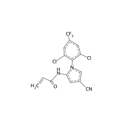 C=CC(=O)Nc1cc(C#N)cn1-c1c(Cl)cc(C(F)(F)F)cc1Cl